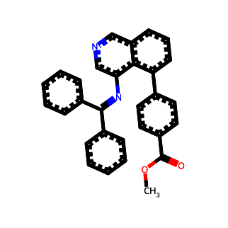 COC(=O)c1ccc(-c2cccc3cncc(N=C(c4ccccc4)c4ccccc4)c23)cc1